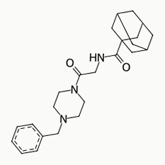 O=C(CNC(=O)C12CC3CC(CC(C3)C1)C2)N1CCN(Cc2ccccc2)CC1